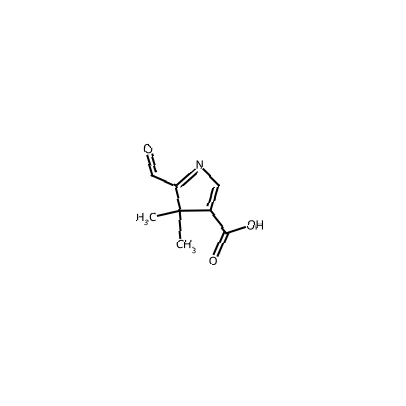 CC1(C)C(C(=O)O)=CN=C1C=O